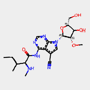 CCC(C)C(NC)C(=O)Nc1ncnc2c1c(C#N)cn2[C@@H]1O[C@H](CO)C(O)[C@@H]1OC